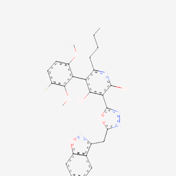 CCCCc1nc(O)c(-c2nnc(Cc3noc4ccccc34)o2)c(O)c1-c1c(OC)ccc(F)c1OC